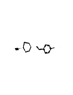 C#C[C@H]1CC[C@H](CCc2ccc(CCCCCC)cc2)CC1